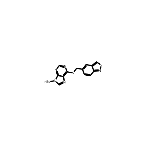 CCCCn1cnc2c(SCc3ccc4nscc4c3)ncnc21